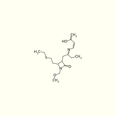 C=C(O)/C=C\N=C(/CC)CC1C(=O)N(COC)C1CCSCC